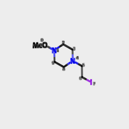 CON1CCN(CCI)CC1